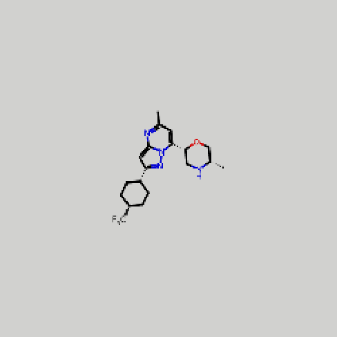 Cc1cc([C@H]2CN[C@@H](C)CO2)n2nc([C@H]3CC[C@H](C(F)(F)F)CC3)cc2n1